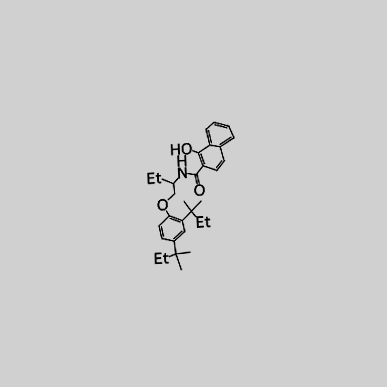 CCC(COc1ccc(C(C)(C)CC)cc1C(C)(C)CC)NC(=O)c1ccc2ccccc2c1O